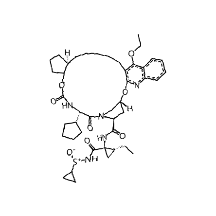 CCOc1c2c(nc3ccccc13)O[C@@H]1C[C@@H](C(=O)N[C@]3(C(=O)N[S@+]([O-])C4CC4)C[C@H]3CC)N(C1)C(=O)[C@H](C1CCCC1)NC(=O)OC1CCC[C@H]1CCCCC2